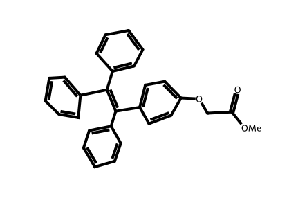 COC(=O)COc1ccc(C(=C(c2ccccc2)c2ccccc2)c2ccccc2)cc1